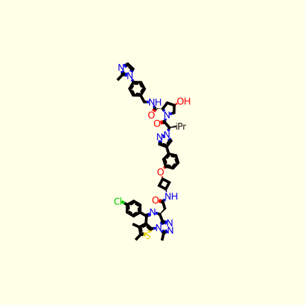 Cc1sc2c(c1C)C(c1ccc(Cl)cc1)=N[C@@H](CC(=O)N[C@H]1C[C@@H](Oc3cccc(-c4cnn([C@@H](C(=O)N5C[C@H](O)C[C@H]5C(=O)NCc5ccc(-n6ccnc6C)cc5)C(C)C)c4)c3)C1)c1nnc(C)n1-2